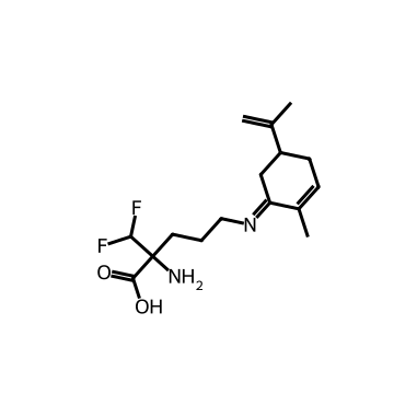 C=C(C)C1CC=C(C)C(=NCCCC(N)(C(=O)O)C(F)F)C1